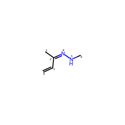 C=C/C(C)=N\NC